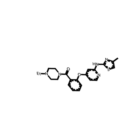 CCN1CCN(C(=O)c2ccccc2Oc2ccnc(Nc3nc(C)cs3)c2)CC1